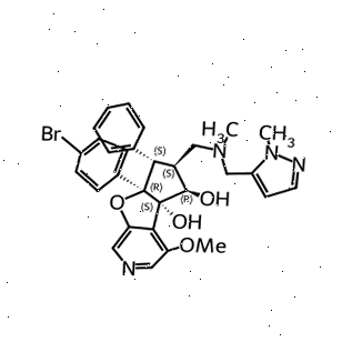 COc1cncc2c1[C@]1(O)[C@H](O)[C@H](CN(C)Cc3ccnn3C)[C@@H](c3ccccc3)[C@]1(c1ccc(Br)cc1)O2